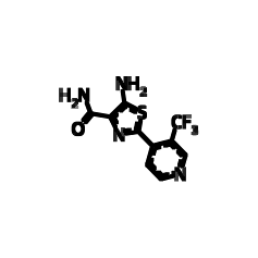 NC(=O)c1nc(-c2ccncc2C(F)(F)F)sc1N